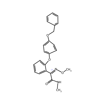 CNC(=O)/C(=N\OC)c1ccccc1Oc1ccc(OCc2ccccc2)cc1